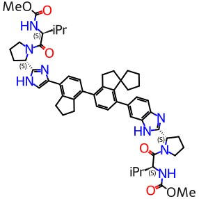 COC(=O)N[C@H](C(=O)N1CCC[C@H]1c1nc(-c2ccc(-c3ccc(-c4ccc5nc([C@@H]6CCCN6C(=O)[C@@H](NC(=O)OC)C(C)C)[nH]c5c4)c4c3CCC43CCCC3)c3c2CCC3)c[nH]1)C(C)C